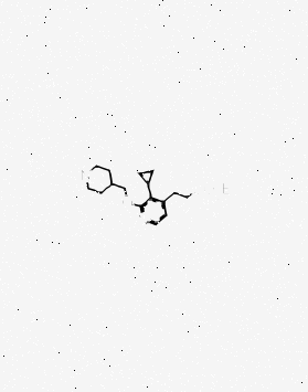 CCOC(=O)CCc1ccnc(OCC2CCNCC2)c1C1CC1